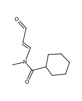 CN(C=CC=O)C(=O)C1CCCCC1